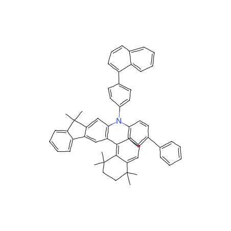 CC1(C)CCC(C)(C)c2c(-c3cc4c(cc3N(c3ccc(-c5ccccc5)cc3)c3ccc(-c5cccc6ccccc56)cc3)C(C)(C)c3ccccc3-4)cccc21